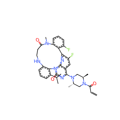 C=CC(=O)N1C[C@H](C)N(c2nc(=O)n3c4nc(c(F)cc24)-c2c(F)cccc2N(C)C(=O)CCNc2cccc(C(C)C)c2-3)C[C@H]1C